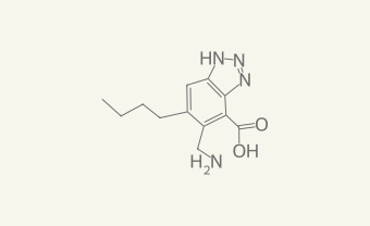 CCCCc1cc2[nH]nnc2c(C(=O)O)c1CN